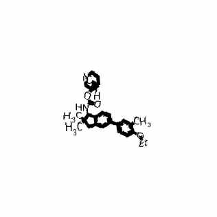 CCOc1ccc(-c2ccc3c(c2)CC(C)(C)[C@H]3NC(=O)O[C@@H]2CN3CCC2CC3)cc1C